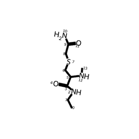 CCNC(=O)C(CSCC(N)=O)NC